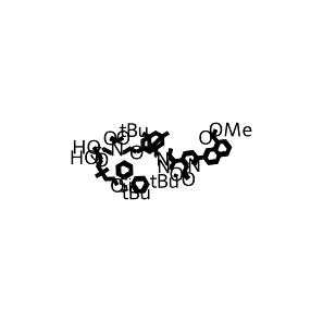 COC(=O)c1cccc2ccc(-c3ccc(-c4cnn(CC56CC7(C)CC(C)(C5)CC(OCCN(CCS(O)(O)OCC(C)(C)CCO[Si](c5ccccc5)(c5ccccc5)C(C)(C)C)C(=O)OC(C)(C)C)(C7)C6)c4C)c(C(=O)OC(C)(C)C)n3)cc12